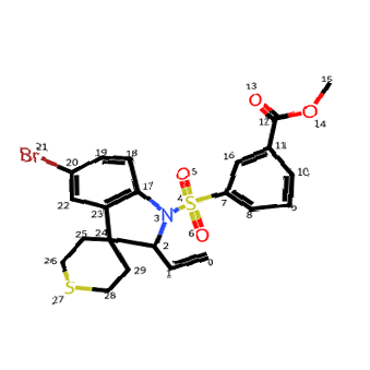 C=CC1N(S(=O)(=O)c2cccc(C(=O)OC)c2)c2ccc(Br)cc2C12CCSCC2